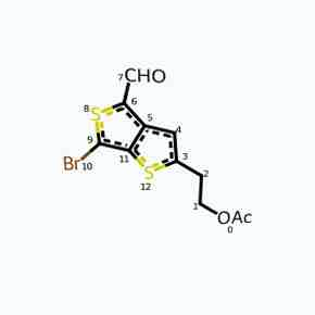 CC(=O)OCCc1cc2c(C=O)sc(Br)c2s1